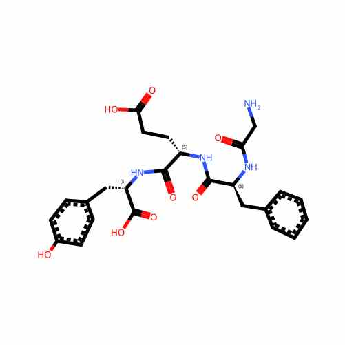 NCC(=O)N[C@@H](Cc1ccccc1)C(=O)N[C@@H](CCC(=O)O)C(=O)N[C@@H](Cc1ccc(O)cc1)C(=O)O